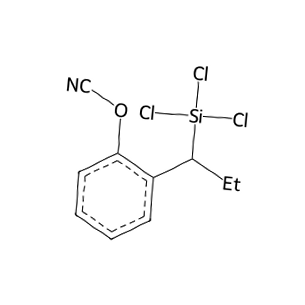 CCC(c1ccccc1OC#N)[Si](Cl)(Cl)Cl